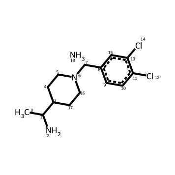 CC(N)C1CCN(Cc2ccc(Cl)c(Cl)c2)CC1.N